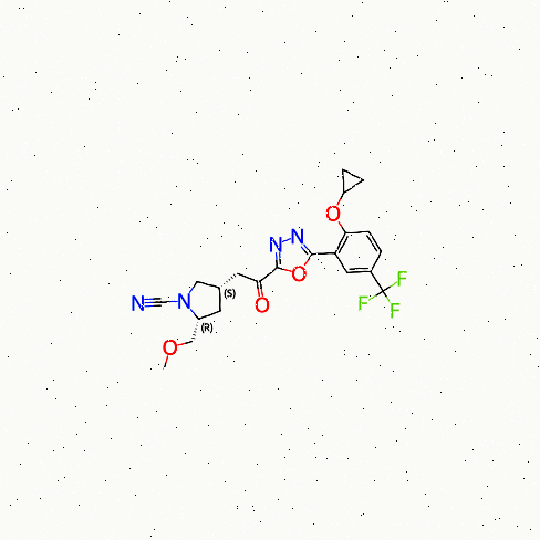 COC[C@H]1C[C@@H](CC(=O)c2nnc(-c3cc(C(F)(F)F)ccc3OC3CC3)o2)CN1C#N